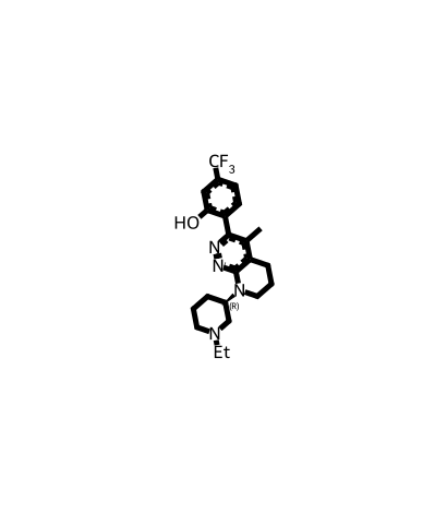 CCN1CCC[C@@H](N2CCCc3c2nnc(-c2ccc(C(F)(F)F)cc2O)c3C)C1